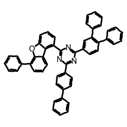 c1ccc(-c2ccc(-c3nc(-c4ccc(-c5ccccc5)c(-c5ccccc5)c4)nc(-c4cccc5oc6c(-c7ccccc7)cccc6c45)n3)cc2)cc1